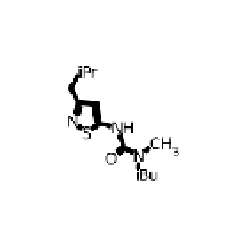 CCC(C)N(C)C(=O)Nc1cc(CC(C)C)ns1